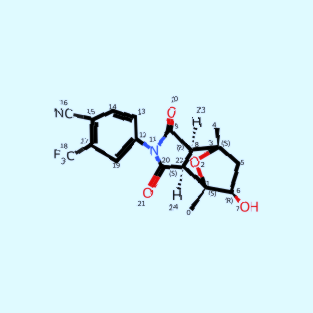 C[C@@]12O[C@@](C)(C[C@H]1O)[C@@H]1C(=O)N(c3ccc(C#N)c(C(F)(F)F)c3)C(=O)[C@@H]12